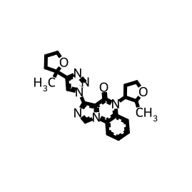 CC1OCCC1n1c(=O)c2c(-n3cc(C4(C)CCCO4)nn3)ncn2c2ccccc21